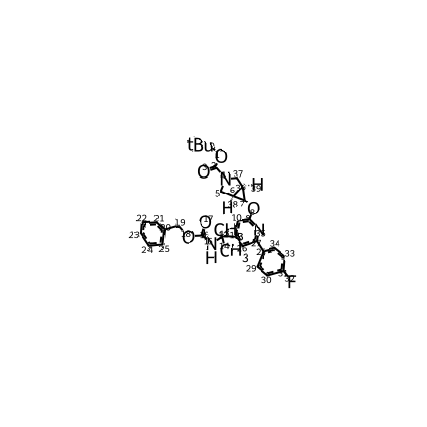 CC(C)(C)OC(=O)N1C[C@@H]2C(Oc3cc(C(C)(C)NC(=O)OCc4ccccc4)cc(-c4ccc(F)cc4)n3)[C@@H]2C1